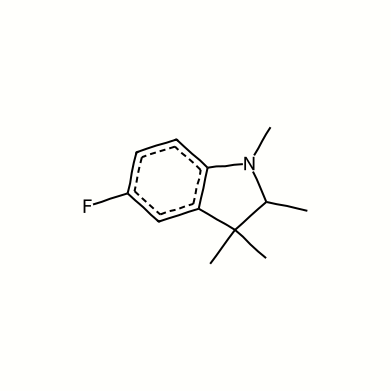 CC1N(C)c2ccc(F)cc2C1(C)C